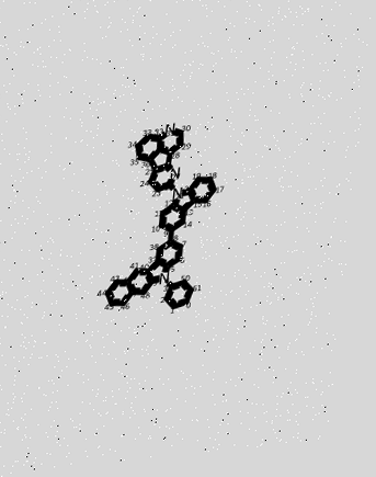 c1ccc(-n2c3ccc(-c4ccc5c(c4)c4ccccc4n5-c4ccc5c(n4)-c4ccnc6cccc-5c46)cc3c3cc4ccccc4cc32)cc1